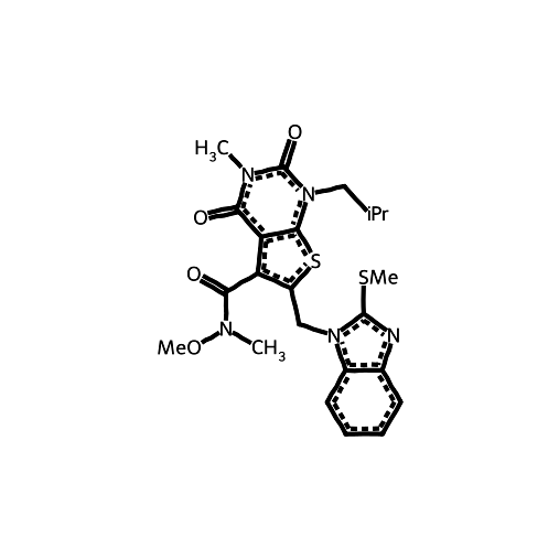 CON(C)C(=O)c1c(Cn2c(SC)nc3ccccc32)sc2c1c(=O)n(C)c(=O)n2CC(C)C